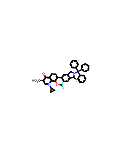 CC1c2ccc(-c3ccc4c(=O)c(C(=O)O)cn(C5CC5)c4c3OC(F)F)cc2CN1C(c1ccccc1)(c1ccccc1)c1ccccc1